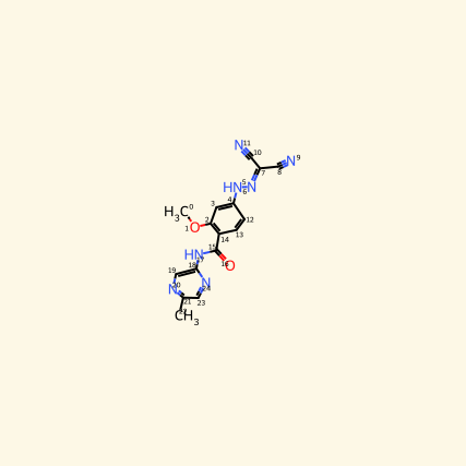 COc1cc(NN=C(C#N)C#N)ccc1C(=O)Nc1cnc(C)cn1